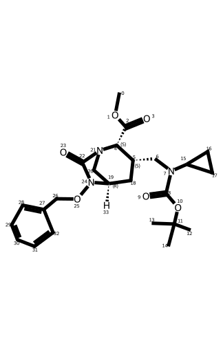 COC(=O)[C@@H]1[C@H](CN(C(=O)OC(C)(C)C)C2CC2)C[C@@H]2CN1C(=O)N2OCc1ccccc1